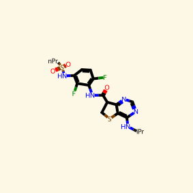 CCCS(=O)(=O)Nc1ccc(F)c(NC(=O)C2CSc3c(NC(C)C)ncnc32)c1F